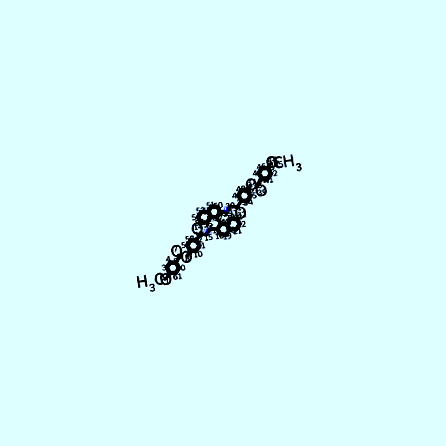 COc1ccc(C(=O)Oc2ccc(C(=O)/C=C/c3ccc4ccccc4c3-c3c(/C=C/C(=O)c4ccc(OC(=O)c5ccc(OC)cc5)cc4)ccc4ccccc34)cc2)cc1